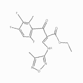 CCOC(=O)/C(=C\Nc1nonc1C)C(=O)c1c(F)cc(F)c(F)c1C